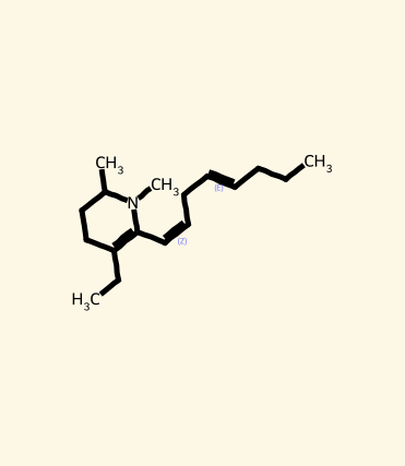 CCC/C=C/C/C=C\C1=C(CC)CCC(C)N1C